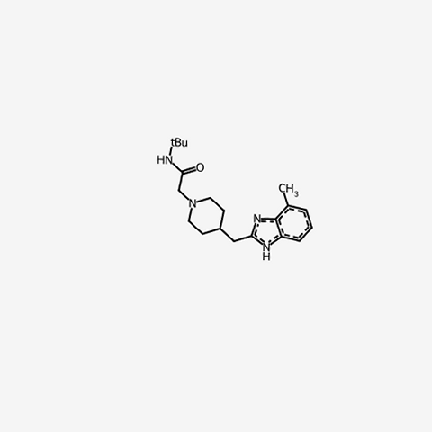 Cc1cccc2[nH]c(CC3CCN(CC(=O)NC(C)(C)C)CC3)nc12